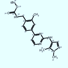 Cc1cc(-c2ccnc(Nc3cnn(C)c3C)n2)ccc1CNC(=O)OC(C)(C)C